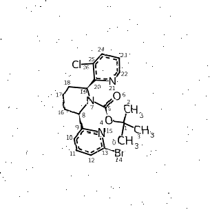 CC(C)(C)OC(=O)N1[C@@H](c2cccc(Br)n2)CCC[C@H]1c1ncccc1Cl